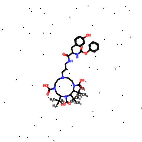 CC(C)(C)C1C(C(C)(C)C)N(C(=O)O)C(C(C)(C)C)CN(C(=O)O)CCN(CCCNC(=O)C(Cc2ccc(O)cc2)NC(=O)Oc2ccccc2)CCN1C(=O)O